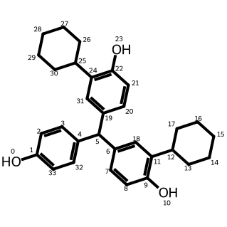 Oc1ccc(C(c2ccc(O)c(C3CCCCC3)c2)c2ccc(O)c(C3CCCCC3)c2)cc1